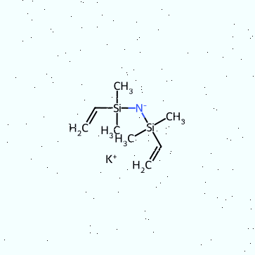 C=C[Si](C)(C)[N-][Si](C)(C)C=C.[K+]